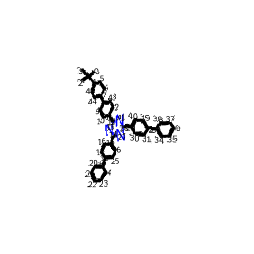 CC(C)(C)c1ccc(-c2ccc(-c3nc(-c4ccc(-c5ccccc5)cc4)nc(-c4ccc(-c5ccccc5)cc4)n3)cc2)cc1